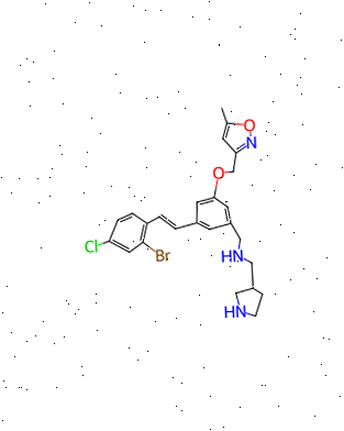 Cc1cc(COc2cc(/C=C/c3ccc(Cl)cc3Br)cc(CNCC3CCNC3)c2)no1